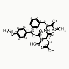 COC(=O)[C@H](Cc1ccccc1)NC(=O)[C@H](CC(=O)O)N(CO)C(=O)OCc1ccc(OC)cc1